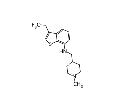 CN1CCC(CNc2cccc3c(CC(F)(F)F)csc23)CC1